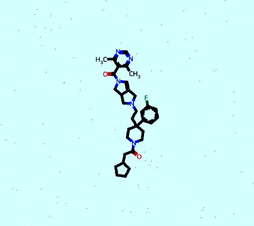 Cc1ncnc(C)c1C(=O)N1C=C2CN(CCC3(c4cccc(F)c4)CCN(C(=O)CC4CCCC4)CC3)CC2C1